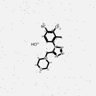 Cc1c(-n2nnnc2CN2CCOCC2)ccc(C#N)c1C(F)(F)F.Cl